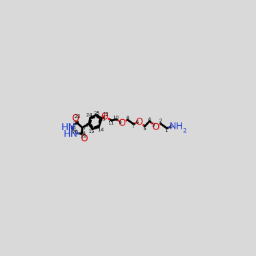 NCCOCCOCCOCCOc1ccc(C2C(=O)NNC2=O)cc1